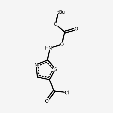 CC(C)(C)OC(=O)ONc1ncc(C(=O)Cl)s1